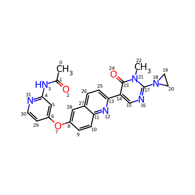 CC(=O)Nc1cc(Oc2ccc3nc(-c4cnc(N5CC5)n(C)c4=O)ccc3c2)ccn1